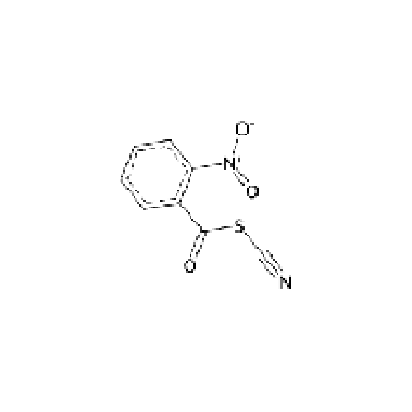 N#CSC(=O)c1ccccc1[N+](=O)[O-]